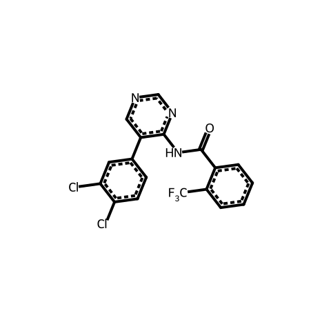 O=C(Nc1ncncc1-c1ccc(Cl)c(Cl)c1)c1ccccc1C(F)(F)F